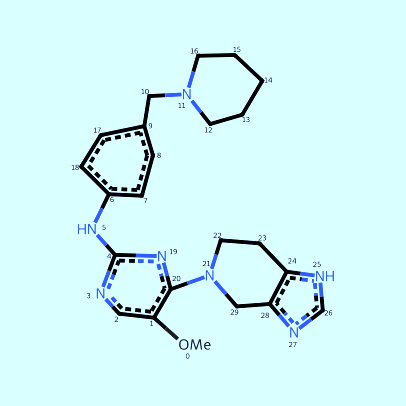 COc1cnc(Nc2ccc(CN3CCCCC3)cc2)nc1N1CCc2[nH]cnc2C1